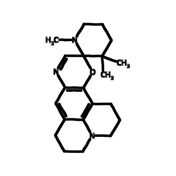 CN1CCCC(C)(C)C12C=Nc1cc3c4c(c1O2)CCCN4CCC3